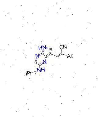 CC(=O)/C(C#N)=C/c1c[nH]c2ncc(NC(C)C)nc12